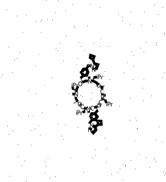 CC(C)C[C@H]1CO[C@H](C)CN(C)[C@@H](CC(C)C)CO[C@H](Cc2ccc(Cn3nccc3C3CCC3)cc2)CN(C)[C@@H](CC(C)C)CO[C@H](C)CN(C)[C@@H](CC(C)C)CO[C@H](Cc2ccc(Cn3nccc3C3CCC3)cc2)CN1C